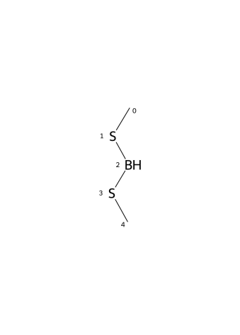 CSBSC